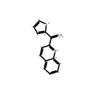 C=C(c1ccc2ccccc2n1)c1cccs1